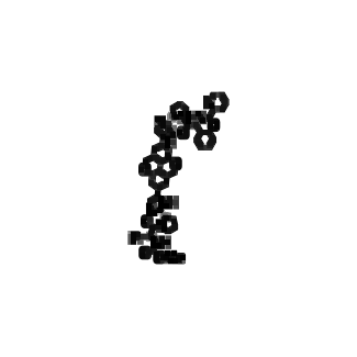 COC(=O)N[C@H](C(=O)N1CCC[C@H]1c1ncc(-c2cc3c4c(c2)OCc2cc(-c5cnc([C@@H]6CCCN6C(=O)[C@H](NC(=O)c6ccccn6)C6C=CC=CC6)[nH]5)cc(c2-4)OC3)[nH]1)C(C)C